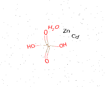 O.O=S(=O)(O)O.[Cd].[Zn]